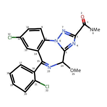 CNC(=O)c1nc2n(n1)-c1ccc(Cl)cc1C(c1ccccc1Cl)=NC2OC